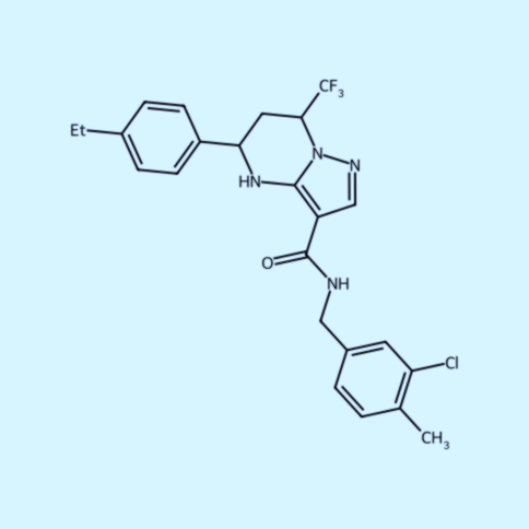 CCc1ccc(C2CC(C(F)(F)F)n3ncc(C(=O)NCc4ccc(C)c(Cl)c4)c3N2)cc1